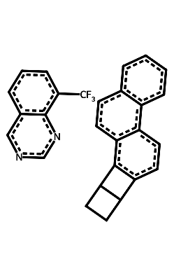 FC(F)(F)c1cccc2cncnc12.c1ccc2c(c1)ccc1c3c(ccc12)C1CCC31